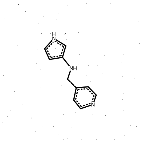 c1cc(CNc2cc[nH]c2)ccn1